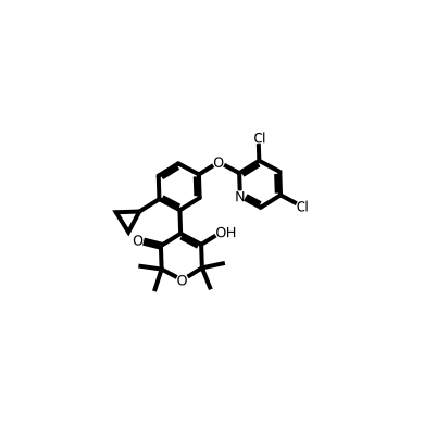 CC1(C)OC(C)(C)C(O)=C(c2cc(Oc3ncc(Cl)cc3Cl)ccc2C2CC2)C1=O